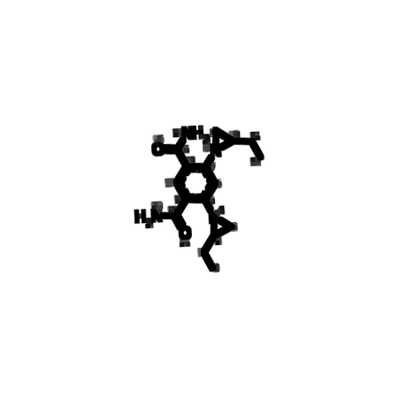 CCC1CN1c1cc(N2CC2CC)c(C(N)=O)cc1C(N)=O